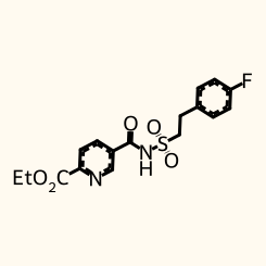 CCOC(=O)c1ccc(C(=O)NS(=O)(=O)CCc2ccc(F)cc2)cn1